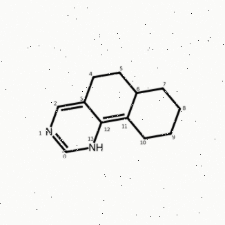 [C]1=NC=C2CCC3CCCCC3=C2N1